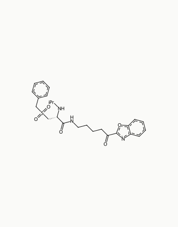 CC(C)N[C@@H](CS(=O)(=O)Cc1ccccc1)C(=O)NCCCCC(=O)c1nc2ccccc2o1